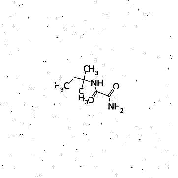 CCC(C)(C)NC(=O)C(N)=O